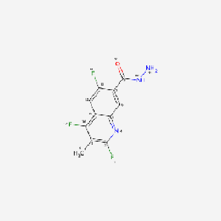 Cc1c(F)nc2cc(C(=O)NN)c(F)cc2c1F